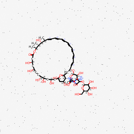 C[C@@H]1[C@H](O)[C@@H](C)/C=C/C=C/C=C/C=C/C=C/C=C/C=C/[C@H](O[C@@H]2O[C@H](C)[C@@H](O)[C@H](N)[C@@H]2O)C[C@@H]2O[C@](O)(C[C@@H](O)C[C@@H](O)[C@H](O)CC[C@@H](O)C[C@@H](O)CC(=O)O[C@H]1C)C[C@H](O)[C@H]2NC(=O)N1CC(O[C@H]2OC(CO)[C@@H](O)[C@H](O)C2O)C1